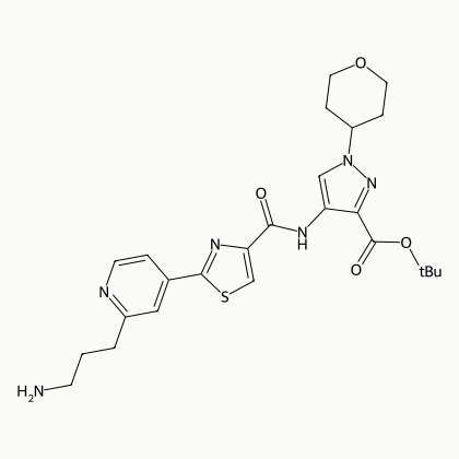 CC(C)(C)OC(=O)c1nn(C2CCOCC2)cc1NC(=O)c1csc(-c2ccnc(CCCN)c2)n1